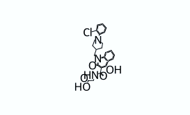 O=C(O)CNC(=O)c1c(O)c2ccccc2n(CC2CCN(c3ccccc3Cl)CC2)c1=O